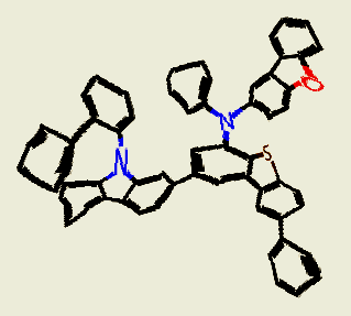 c1ccc(-c2ccc3sc4c(N(c5ccccc5)c5ccc6oc7ccccc7c6c5)cc(-c5ccc6c7ccccc7n(-c7ccccc7-c7ccccc7)c6c5)cc4c3c2)cc1